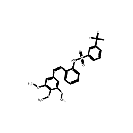 COc1cc(/C=C\c2ccccc2NS(=O)(=O)c2cccc(C(F)(F)F)c2)cc(OC)c1OC